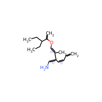 C=C\C=C/C(=C\N)C(/C)=C/OC(=C)C(CC)CC